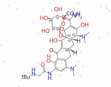 CN(C)c1cc(NC(=O)CNC(C)(C)C)c(O)c2c1C[C@H]1C[C@H]3[C@H](N(C)C)C(O)=C(C(N)=O)C(=O)[C@@]3(O[C@@H]3O[C@H](C(=O)O)[C@@H](O)[C@H](O)[C@H]3O)C(O)=C1C2=O